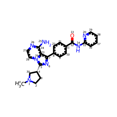 CN1CC[C@@H](c2nc(-c3ccc(C(=O)Nc4ccccn4)cc3)c3c(N)nccn23)C1